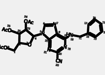 CC(=O)OCC1OC(n2cnc3c(NCc4ccccc4)nc(C#N)nc32)C(OC(C)=O)C1OC(C)=O